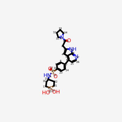 O=C(Cc1cc2c(-c3ccc(S(=O)(=O)NC4CCS(O)(O)CC4)cc3)ccnc2[nH]1)N1CCCC1